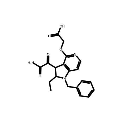 CCC1C(C(=O)C(N)=O)c2c(ccnc2OCC(=O)O)N1Cc1ccccc1